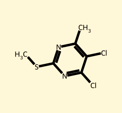 CSc1nc(C)c(Cl)c(Cl)n1